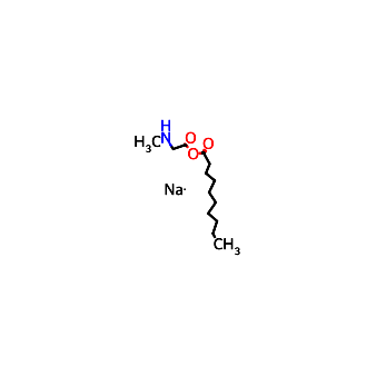 CCCCCCCCCC(=O)OC(=O)CNC.[Na]